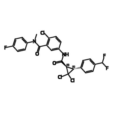 CN(C(=O)c1cc(NC(=O)[C@H]2[C@H](c3ccc(C(F)F)cc3)C2(Cl)Cl)ccc1Cl)c1ccc(F)cc1